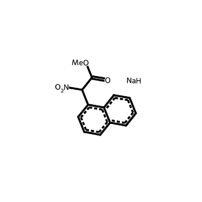 COC(=O)C(c1cccc2ccccc12)[N+](=O)[O-].[NaH]